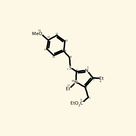 CCOC(=O)Cc1c(CC)nc(SCc2ccc(OC)cc2)n1CC